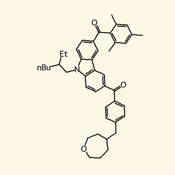 CCCCC(CC)Cn1c2ccc(C(=O)c3ccc(CC4CCCOCC4)cc3)cc2c2cc(C(=O)c3c(C)cc(C)cc3C)ccc21